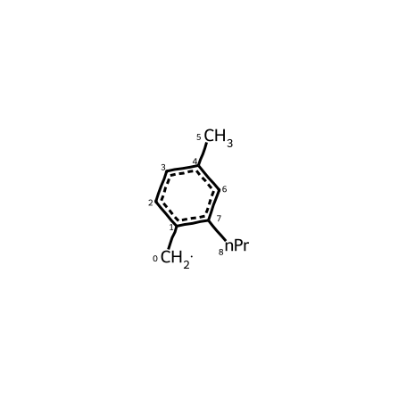 [CH2]c1ccc(C)cc1CCC